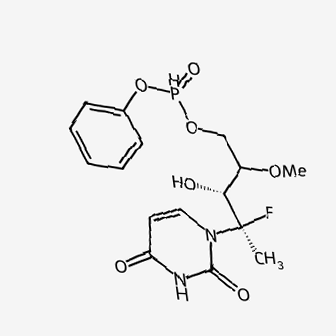 COC(CO[PH](=O)Oc1ccccc1)[C@@H](O)[C@@](C)(F)n1ccc(=O)[nH]c1=O